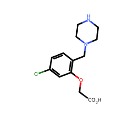 O=C(O)COc1cc(Cl)ccc1CN1CCNCC1